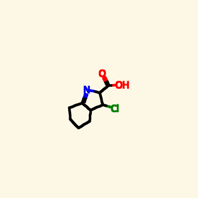 O=C(O)C1N=C2CCCCC2C1Cl